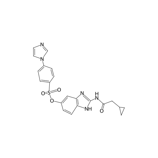 O=C(CC1CC1)Nc1nc2cc(OS(=O)(=O)c3ccc(-n4ccnc4)cc3)ccc2[nH]1